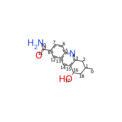 CC1Cc2nc3ccc(C(N)=O)cc3cc2C(O)C1